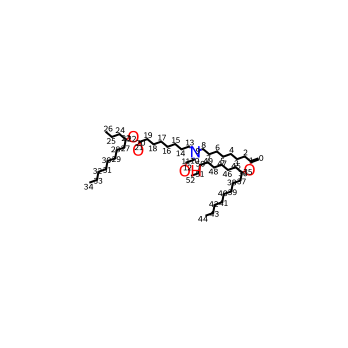 C=C(CCCCCCCN(CCO)CCCCCCCC(=O)OC(CCC)CCCCCCCC)OC(CCCCCCCC)CCCCCCCC